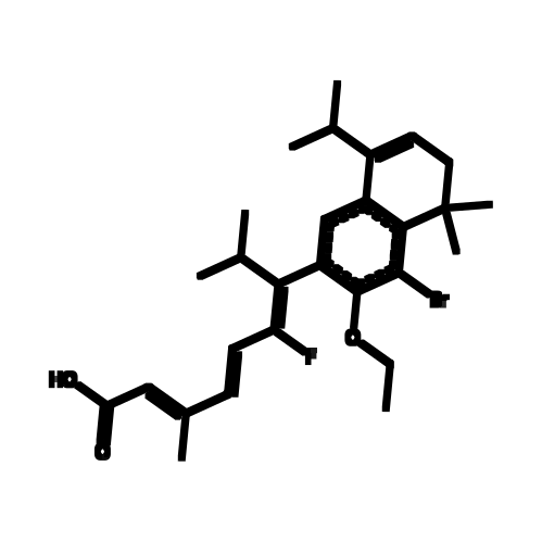 CCOc1c(C(=C(F)C=CC(C)=CC(=O)O)C(C)C)cc2c(c1Br)C(C)(C)CC=C2C(C)C